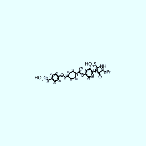 CC(C)C1NC(S(=O)(=O)O)N(c2ccc(OC(=O)N3CCC(COc4ccc(CC(=O)O)cc4)CC3)cn2)C1=O